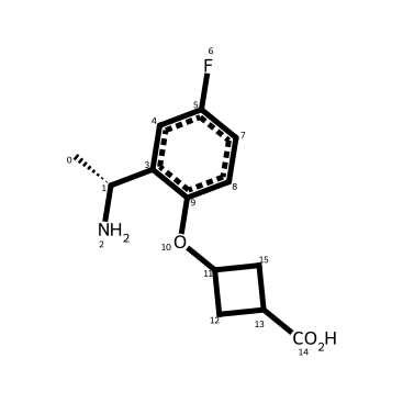 C[C@@H](N)c1cc(F)ccc1OC1CC(C(=O)O)C1